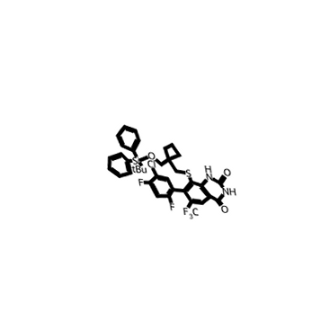 CC(C)(C)[Si](OCC1(CSc2c(-c3cc(Cl)c(F)cc3F)c(C(F)(F)F)cc3c(=O)[nH]c(=O)[nH]c23)CCC1)(c1ccccc1)c1ccccc1